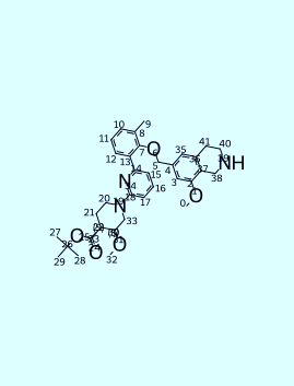 COc1cc(COc2c(C)cccc2-c2cccc(N3CC[C@H](C(=O)OC(C)(C)C)[C@H](OC)C3)n2)cc2c1CNCC2